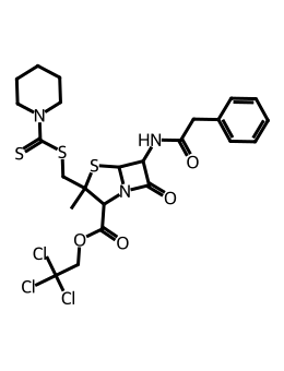 CC1(CSC(=S)N2CCCCC2)SC2C(NC(=O)Cc3ccccc3)C(=O)N2C1C(=O)OCC(Cl)(Cl)Cl